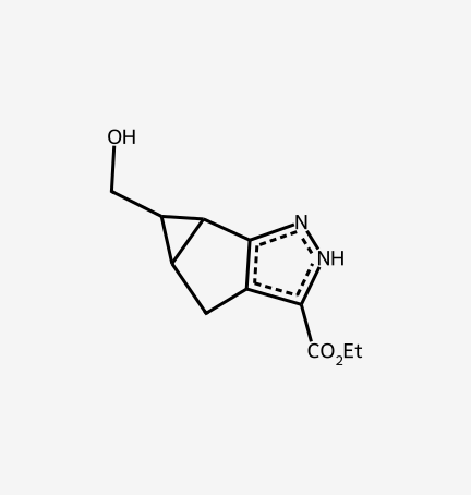 CCOC(=O)c1[nH]nc2c1CC1C(CO)C21